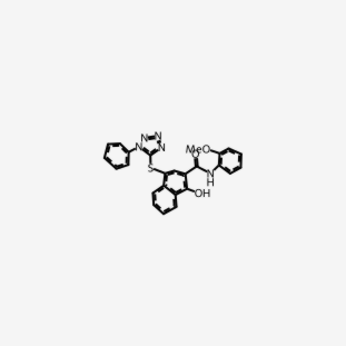 COc1ccccc1NC(=O)c1cc(Sc2nnnn2-c2ccccc2)c2ccccc2c1O